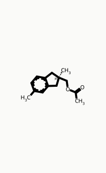 CC(=O)OC[C@]1(C)Cc2ccc(C)cc2C1